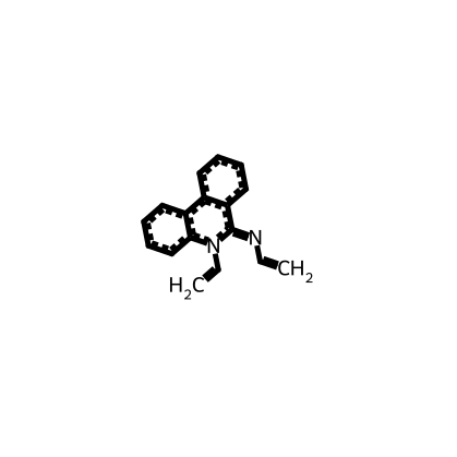 C=C/N=c1/c2ccccc2c2ccccc2n1C=C